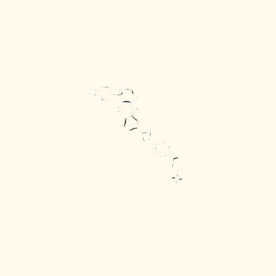 Cc1cc(C2CN(C3CCN(C(=O)CCS(C)(=O)=O)CC3)C2)cc2c1O[C@@H](C)c1c(ncnc1N1CCS(=O)(=O)CC1)N2